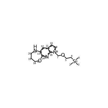 C[Si](C)(C)CCOCn1ccc2cc3c(nc21)OCCCN3